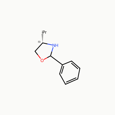 CC(C)[C@H]1COC(c2ccccc2)N1